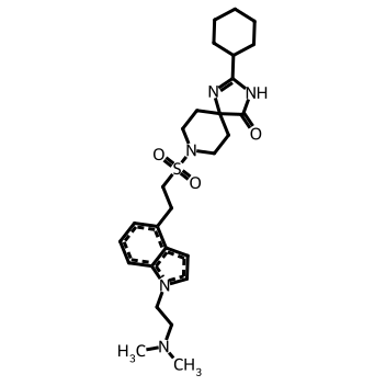 CN(C)CCn1ccc2c(CCS(=O)(=O)N3CCC4(CC3)N=C(C3CCCCC3)NC4=O)cccc21